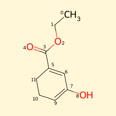 CCOC(=O)C1=CC(O)=CCC1